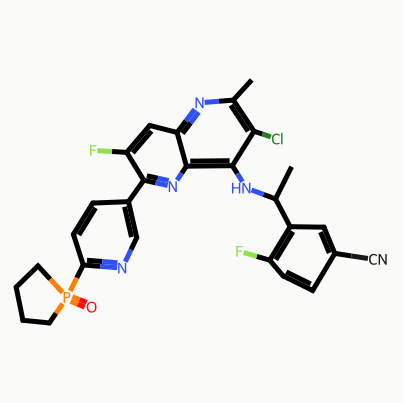 Cc1nc2cc(F)c(-c3ccc(P4(=O)CCCC4)nc3)nc2c(NC(C)c2cc(C#N)ccc2F)c1Cl